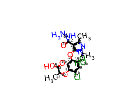 Cc1nn(C)c(Oc2cc(O[C@@H](C)C(=O)O)c(Cl)cc2Cl)c1C(=O)NN.Cl